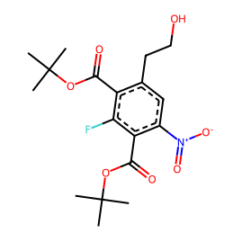 CC(C)(C)OC(=O)c1c(CCO)cc([N+](=O)[O-])c(C(=O)OC(C)(C)C)c1F